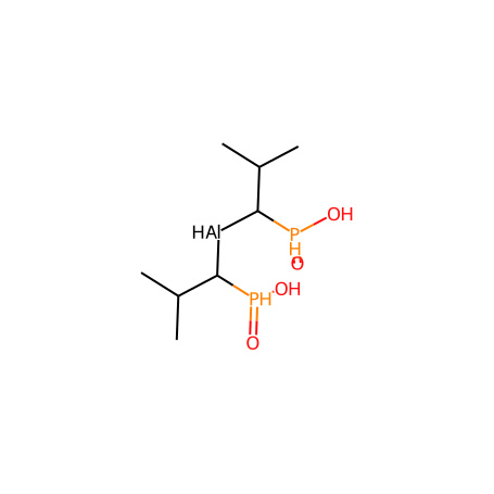 CC(C)[CH]([AlH][CH](C(C)C)[PH](=O)O)[PH](=O)O